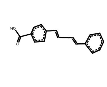 O=C(O)c1ccc(/C=C/C=C/c2ccccc2)cc1